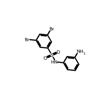 Nc1cccc(NS(=O)(=O)c2cc(Br)cc(Br)c2)c1